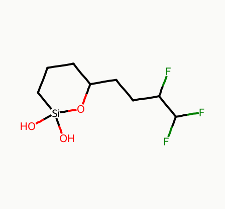 O[Si]1(O)CCCC(CCC(F)C(F)F)O1